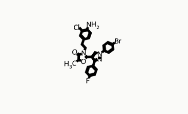 CC1OC(c2cn(-c3ccc(Br)cc3)nc2-c2ccc(F)cc2)N(CCc2ccc(N)c(Cl)c2)C1=O